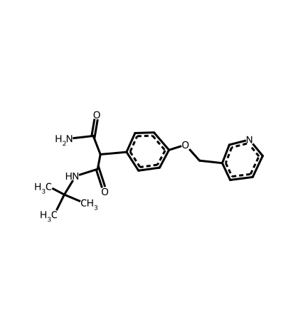 CC(C)(C)NC(=O)C(C(N)=O)c1ccc(OCc2cccnc2)cc1